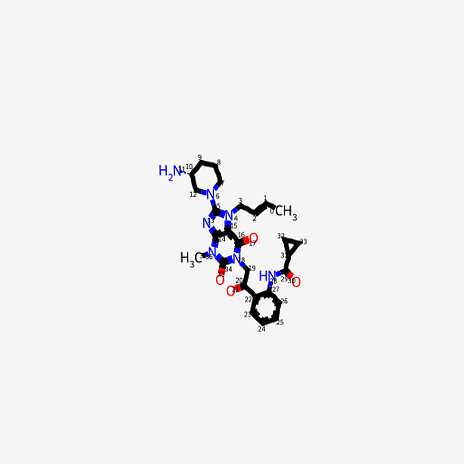 CC=CCn1c(N2CCC[C@@H](N)C2)nc2c1c(=O)n(CC(=O)c1ccccc1NC(=O)C1CC1)c(=O)n2C